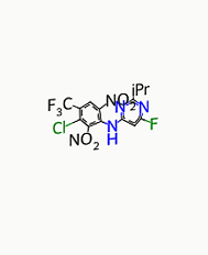 CC(C)c1nc(F)cc(Nc2c([N+](=O)[O-])cc(C(F)(F)F)c(Cl)c2[N+](=O)[O-])n1